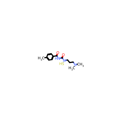 Cc1ccc(C(=O)NC(=O)N(S)CCCN(C)C)cc1